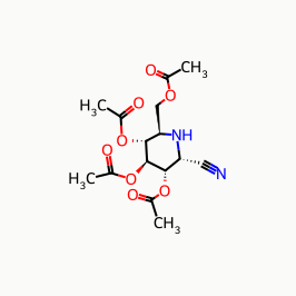 CC(=O)OC[C@H]1N[C@H](C#N)[C@H](OC(C)=O)[C@@H](OC(C)=O)[C@@H]1OC(C)=O